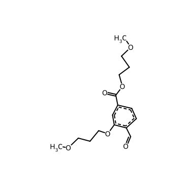 COCCCOC(=O)c1ccc(C=O)c(OCCCOC)c1